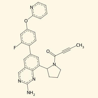 CC#CC(=O)N1CCCC1c1cc(-c2ccc(Oc3ccccn3)cc2F)cc2cnc(N)nc12